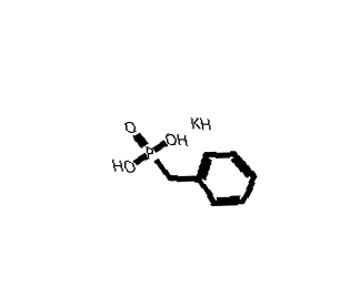 O=P(O)(O)Cc1ccccc1.[KH]